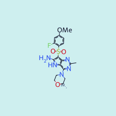 COc1ccc(S(=O)(=O)c2c(N)[nH]c3c(N4CCO[C@@H](C)C4)nc(C)nc23)c(F)c1